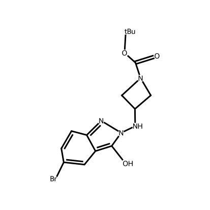 CC(C)(C)OC(=O)N1CC(Nn2nc3ccc(Br)cc3c2O)C1